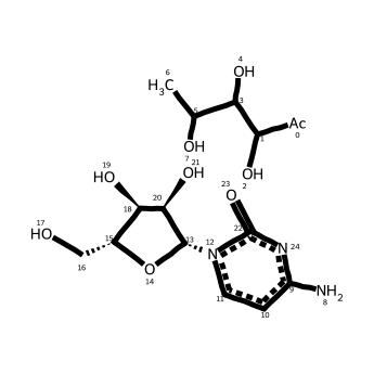 CC(=O)C(O)C(O)C(C)O.Nc1ccn([C@@H]2O[C@H](CO)[C@@H](O)[C@H]2O)c(=O)n1